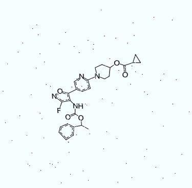 CC(OC(=O)Nc1c(F)noc1-c1ccc(N2CCC(OC(=O)C3CC3)CC2)nc1)c1ccccc1